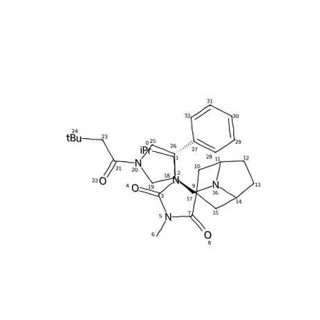 CC(C)CN1C(=O)N(C)C(=O)C12CC1CCC(C2)N1C[C@H]1CN(C(=O)CC(C)(C)C)C[C@@H]1c1ccccc1